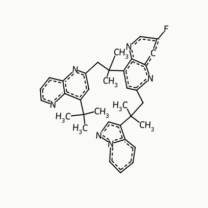 CC(C)(C)c1cc(CC(C)(C)c2cc(CC(C)(C)c3cnn4ccccc34)nc3cc(F)cnc23)nc2cccnc12